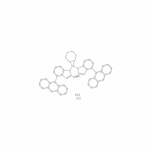 CCCC1=Cc2c(-c3c4ccccc4cc4ccccc34)cccc2[CH]1[Hf]1([CH]2C(CCC)=Cc3c(-c4c5ccccc5cc5ccccc45)cccc32)[CH]2CCCC[CH]21.Cl.Cl